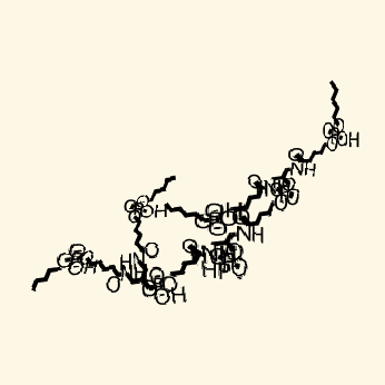 CCCCCOP(=O)(O)OCCCCC(=O)NCC(CNC(=O)CCCCOP(=O)(O)OCCCCC)OP(=O)(O)OCCCCC(=O)NCC(CNC(=O)CCCCOP(=O)(O)OC(CNC(=O)CCCCOP(=O)(O)OCCCCC)CNC(=O)CCCCOP(=O)(O)OCCCCC)OP(O)(=P)OC